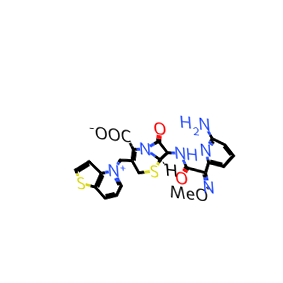 CO/N=C(\C(=O)NC1C(=O)N2C(C(=O)[O-])=C(C[n+]3cccc4sccc43)CS[C@H]12)c1cccc(N)n1